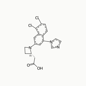 O=C(O)C[C@@H]1CCN1c1cc(-n2ccnc2)c2ccc(Cl)c(Cl)c2c1